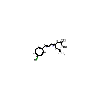 C=CC/C(=C\C=C\C1=CCC=C(F)C=C1)CC(CC)CCCC